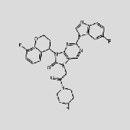 O=C(Cn1c(=O)n(C2CCOc3c(F)cccc32)c2nc(-n3cnc4ccc(F)cc43)ncc21)N1CCNCC1